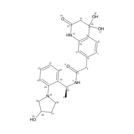 C[C@H](NC(=O)Cc1ccc2c(c1)NC(=O)CS2(O)O)c1ccccc1N1CCC(O)C1